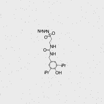 CC(C)c1cc(CNC(=O)NCCS(=O)(=O)N=[N+]=[N-])cc(C(C)C)c1O